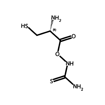 NC(=S)NOC(=O)[C@@H](N)CS